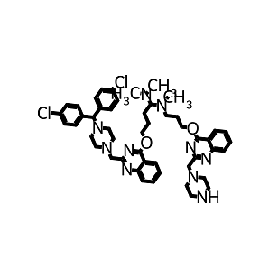 CN(C)C(CCCOc1nc(CN2CCN(C(c3ccc(Cl)cc3)c3ccc(Cl)cc3)CC2)nc2ccccc12)N(C)CCCOc1nc(CN2CCNCC2)nc2ccccc12